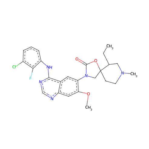 CCC1CN(C)CCC12CN(c1cc3c(Nc4cccc(Cl)c4F)ncnc3cc1OC)C(=O)O2